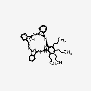 CCCc1c(CCC)c(CCC)c2c3nc4nc(nc5[nH]c(nc6nc(nc([nH]3)c2c1CCC)-c1ccccc1-6)c1ccccc51)-c1ccccc1-4